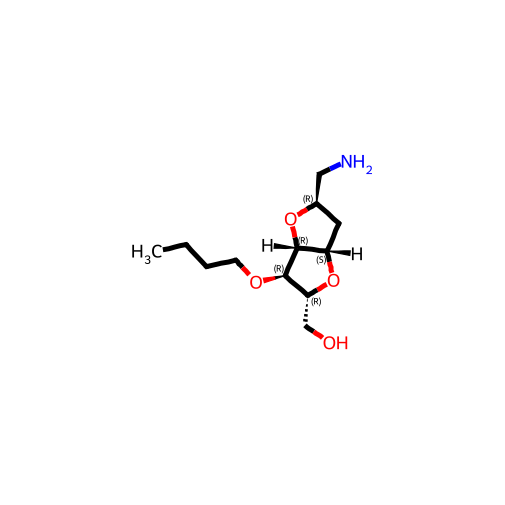 CCCCO[C@H]1[C@@H]2O[C@@H](CN)C[C@@H]2O[C@@H]1CO